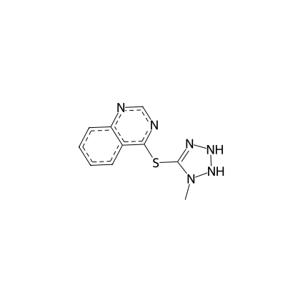 CN1NNN=C1Sc1ncnc2ccccc12